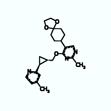 Cc1ccnc([C@H]2C[C@@H]2COc2nc(C)ncc2C2CCC3(CC2)OCCO3)c1